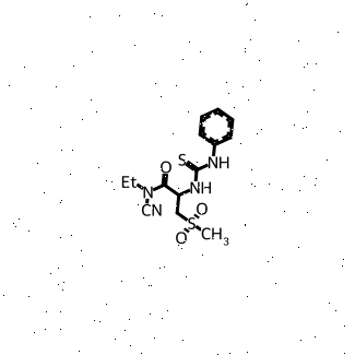 CCN(C#N)C(=O)C(CS(C)(=O)=O)NC(=S)Nc1ccccc1